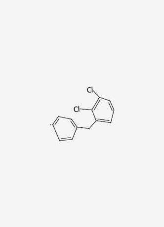 Clc1cccc(Cc2cc[c]cc2)c1Cl